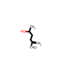 C=C([C]=O)CCC(C)O